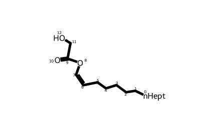 CCCCCCCCCCCC/C=C\OC(=O)CO